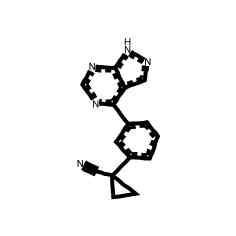 N#CC1(c2cccc(-c3ncnc4[nH]ncc34)c2)CC1